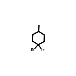 [CH2]C1CCC(CC)(CC)CC1